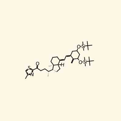 C=C1/C(=C\C=C2/CCC[C@]3(C)[C@@H]([C@H](C)CCC(=O)c4nc(C)cs4)CC[C@@H]23)CC(O[Si](C)(C)C(C)(C)C)CC1O[Si](C)(C)C(C)(C)C